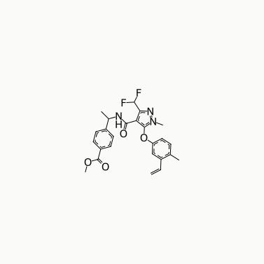 C=Cc1cc(Oc2c(C(=O)NC(C)c3ccc(C(=O)OC)cc3)c(C(F)F)nn2C)ccc1C